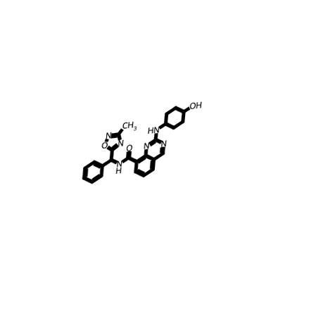 Cc1noc(C(NC(=O)c2cccc3cnc(NC4CCC(O)CC4)nc23)c2ccccc2)n1